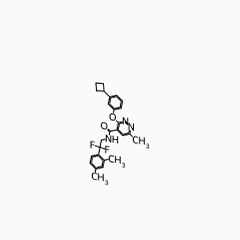 Cc1ccc(C(F)(F)CNC(=O)c2cc(C)nnc2Oc2cccc(C3CCC3)c2)c(C)c1